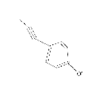 CC#Cc1cc[n+]([O-])cc1